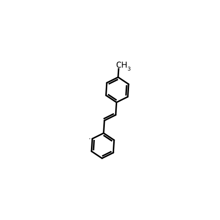 Cc1ccc(C=Cc2[c]cccc2)cc1